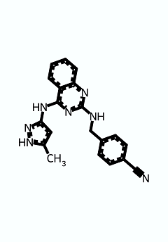 Cc1cc(Nc2nc(NCc3ccc(C#N)cc3)nc3ccccc23)n[nH]1